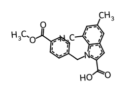 COC(=O)c1ccc(Cn2c(C(=O)O)cc3cc(C)cc(C)c32)cc1